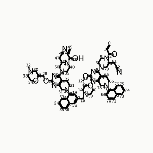 C=CC(=O)N1CCN(c2nc(OC[C@H]3CN(Cc4cc(N5CCc6c(nc(OC[C@@H]7CN(C)CCO7)nc6N6CCN(C(O)C=C)C(CC#N)C6)C5)c5ccccc5c4)CCO3)nc3c2CCN(c2cccc4ccccc24)C3)CC1CC#N